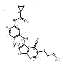 CCOCCn1ncc2scc(Nc3cc(NC(=O)C4CC4)ncc3C(=O)O)c2c1=O